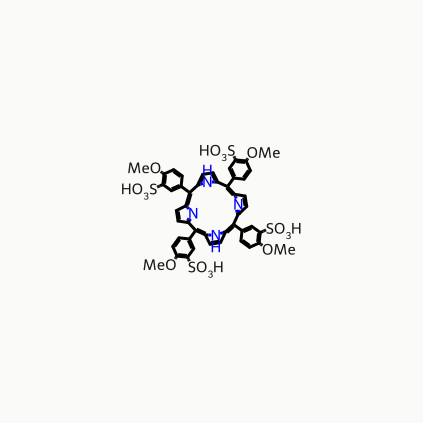 COc1ccc(-c2c3nc(c(-c4ccc(OC)c(S(=O)(=O)O)c4)c4ccc([nH]4)c(-c4ccc(OC)c(S(=O)(=O)O)c4)c4nc(c(-c5ccc(OC)c(S(=O)(=O)O)c5)c5ccc2[nH]5)C=C4)C=C3)cc1S(=O)(=O)O